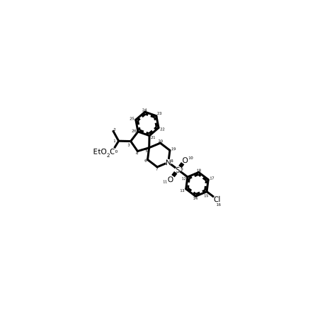 CCOC(=O)C(C)C1CC2(CCN(S(=O)(=O)c3ccc(Cl)cc3)CC2)c2ccccc21